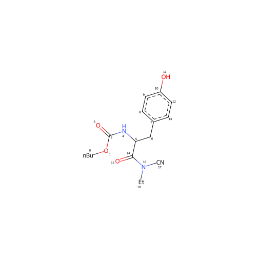 CCCCOC(=O)NC(Cc1ccc(O)cc1)C(=O)N(C#N)CC